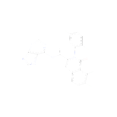 CCC(Nc1ncnc2[nH]cnc12)c1cc2ccc(F)c(Cl)c2c(=O)n1-c1cc(F)ccc1F